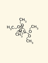 CCOC(OCC)[SiH2]C[Si](OCC)(OCC)OCC